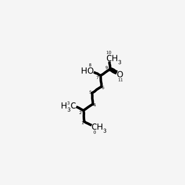 CCC(C)CCCC(O)C(C)=O